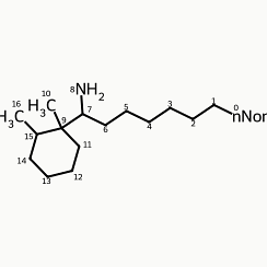 CCCCCCCCCCCCCCCC(N)C1(C)CCCCC1C